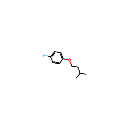 CC(C)CCOc1ccc(F)cc1